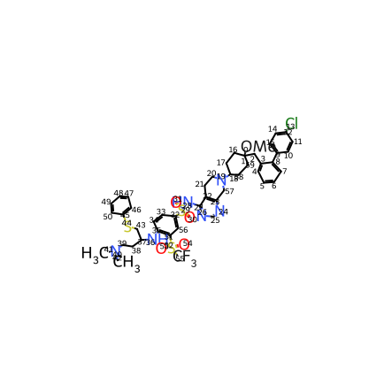 COC1(Cc2ccccc2-c2ccc(Cl)cc2)CCC(N2CCc3c(ncnc3NS(=O)(=O)c3ccc(NC(CCN(C)C)CSc4ccccc4)c(S(=O)(=O)C(F)(F)F)c3)C2)CC1